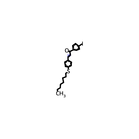 CCCCCCCCSc1ccc(/C=C/C(=O)c2ccc(I)cc2)cc1